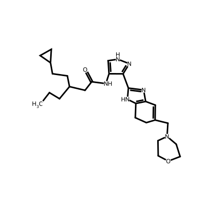 CCCC(CCC1CC1)CC(=O)Nc1c[nH]nc1-c1nc2c([nH]1)CCC(CN1CCOCC1)=C2